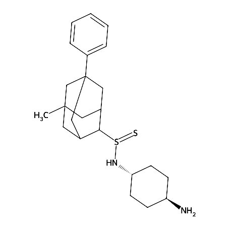 CC12CC3CC(c4ccccc4)(CC(C1)C3S(=S)N[C@H]1CC[C@H](N)CC1)C2